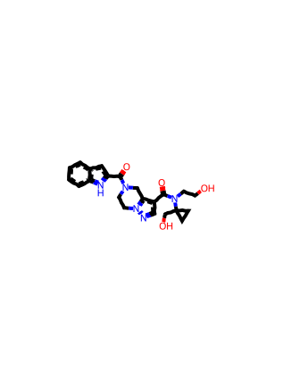 O=C(c1cc2ccccc2[nH]1)N1CCn2ncc(C(=O)N(CCO)C3(CO)CC3)c2C1